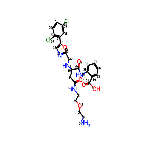 NCCOCCNC(=O)CC(NCc1ncc(-c2cc(Cl)ccc2Cl)o1)C(=O)Nc1ccccc1C(=O)O